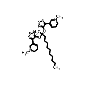 CCCCCCCCCCC(C)(Oc1nsnc1C1=CCCN(C)C1)Oc1nsnc1C1=CCCN(C)C1